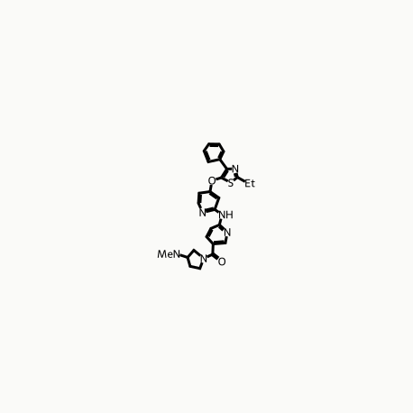 CCc1nc(-c2ccccc2)c(Oc2ccnc(Nc3ccc(C(=O)N4CCC(NC)C4)cn3)c2)s1